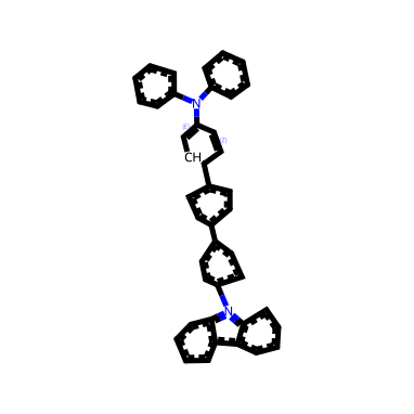 C/C=C(\C=C/Cc1ccc(-c2ccc(-n3c4ccccc4c4ccccc43)cc2)cc1)N(c1ccccc1)c1ccccc1